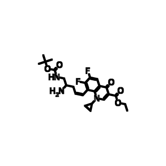 CCOC(=O)c1cn(C2CC2)c2c(/C=C\CC(N)CNC(=O)OC(C)(C)C)c(F)c(F)cc2c1=O